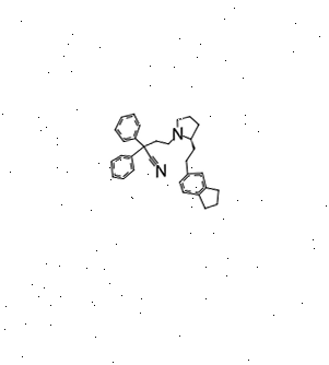 N#CC(CCN1CCC[C@H]1CCc1ccc2c(c1)CCC2)(c1ccccc1)c1ccccc1